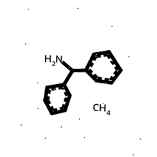 C.NC(c1ccccc1)c1ccccc1